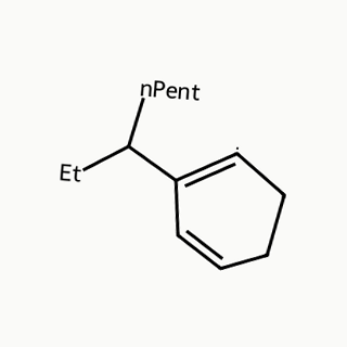 CCCCCC(CC)C1=[C]CCC=C1